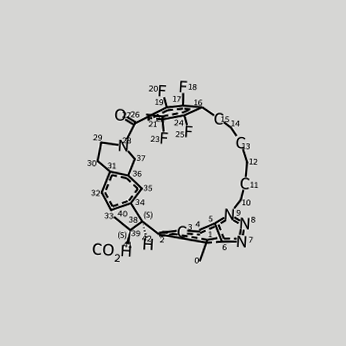 Cc1c2ccc3c1nnn3CCCCCCc1c(F)c(F)c(c(F)c1F)C(=O)N1CCc3ccc(cc3C1)[C@@H]2[C@H](C)C(=O)O